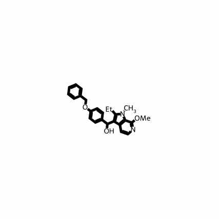 CCc1c(C(O)c2ccc(OCc3ccccc3)cc2)c2ccnc(OC)c2n1C